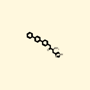 N[C@@H](Cc1c[nH]cn1)C(=O)CC1=CCC(c2ccc(-c3ccccc3)cc2)C=C1